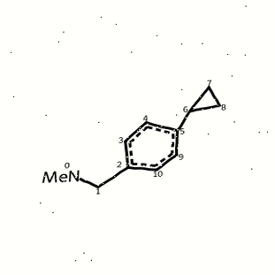 CNCc1ccc(C2CC2)cc1